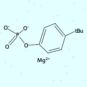 CC(C)(C)c1ccc(OP(=O)([O-])[O-])cc1.[Mg+2]